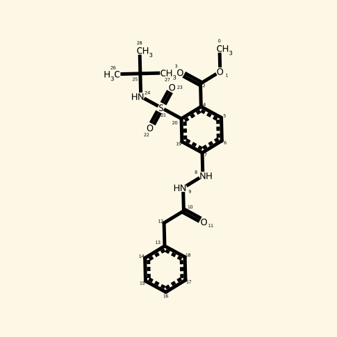 COC(=O)c1ccc(NNC(=O)Cc2ccccc2)cc1S(=O)(=O)NC(C)(C)C